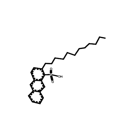 CCCCCCCCCCCCc1ccc2cc3ccccc3cc2c1S(=O)(=O)O